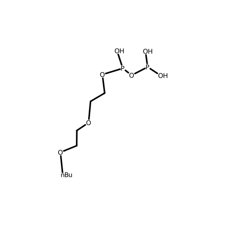 CCCCOCCOCCOP(O)OP(O)O